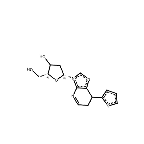 OC[C@H]1O[C@@H](n2cnc3c2N=CCC3c2cccs2)CC1O